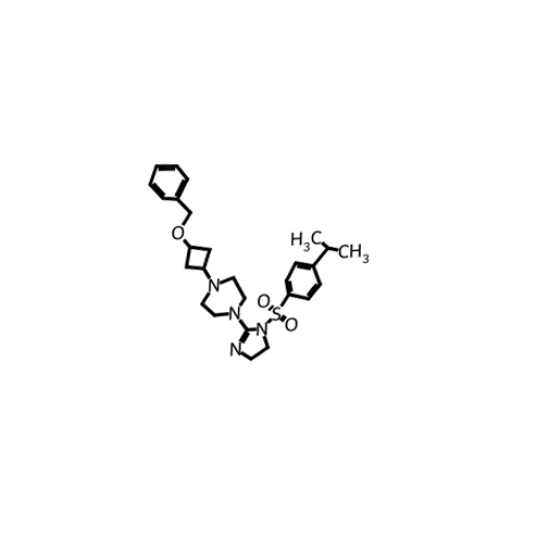 CC(C)c1ccc(S(=O)(=O)N2CCN=C2N2CCN(C3CC(OCc4ccccc4)C3)CC2)cc1